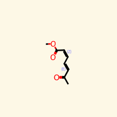 COC(=O)/C=C\C=C\C(C)=O